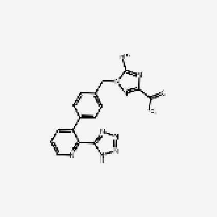 CCCC(=O)c1nc(CCC)n(Cc2ccc(-c3cccnc3-c3nnn[nH]3)cc2)n1